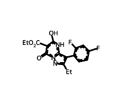 CCOC(=O)c1c(O)[nH]c2c(-c3ccc(F)cc3F)c(CC)nn2c1=O